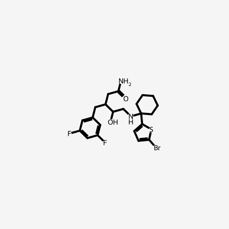 NC(=O)CC(Cc1cc(F)cc(F)c1)C(O)CNC1(c2ccc(Br)s2)CCCCC1